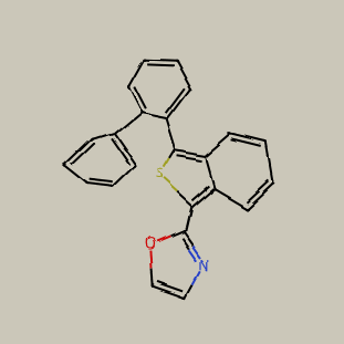 c1ccc(-c2ccccc2-c2sc(-c3ncco3)c3ccccc23)cc1